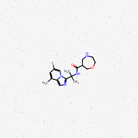 Cc1cc(F)cn2c(C(C)(C)NC(=O)C3CNCCOC3)ncc12